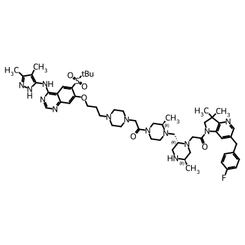 Cc1n[nH]c(Nc2ncnc3cc(OCCCN4CCN(CC(=O)N5CCN(C[C@H]6CN[C@H](C)CN6CC(=O)N6CC(C)(C)c7ncc(Cc8ccc(F)cc8)cc76)[C@H](C)C5)CC4)c(S(=O)(=O)C(C)(C)C)cc23)c1C